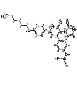 CCCCCCOc1ccc(-c2cc(-c3ccc(OC(F)F)cc3)c(-n3nn[nH]c3=O)c(=O)[nH]2)cc1